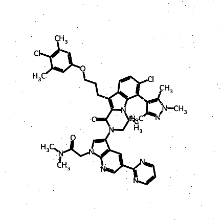 Cc1cc(OCCCc2c3n(c4c(-c5c(C)nn(C)c5C)c(Cl)ccc24)[C@H](C)CN(c2cn(CC(=O)N(C)C)c4ncc(-c5ncccn5)cc24)C3=O)cc(C)c1Cl